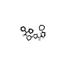 O=C(C(c1ccccc1)c1ccccc1)N1CCCC(N2CCC(Nc3nccc(N4CCCCCC4)n3)C2)C1